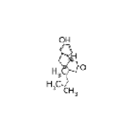 CC(C)CCC1CC(=O)C[C@@H]2c3ccc(O)cc3CC[C@@]12C